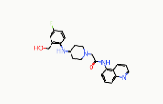 O=C(CN1CCC(Nc2ccc(F)cc2CO)CC1)Nc1cccc2ncccc12